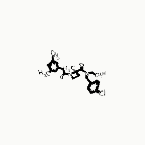 Cc1cc(C)cc(CC(=O)N2CC[C@@]2(C)C(=O)N(CC(=O)O)Cc2ccc(Cl)cc2)c1